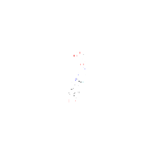 CC1(C)OCC(CON=C2CN(c3ncc(-c4cccc(CO)c4F)cc3F)C2)CO1